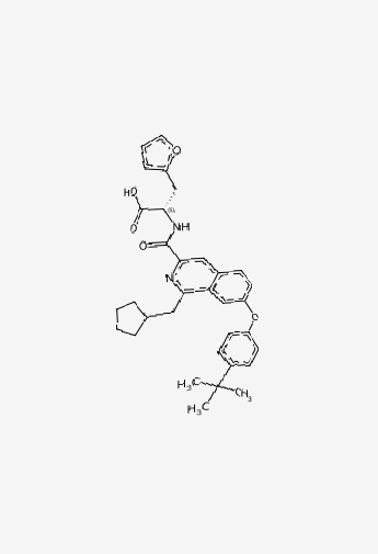 CC(C)(C)c1ccc(Oc2ccc3cc(C(=O)N[C@@H](Cc4ccco4)C(=O)O)nc(CC4CCCC4)c3c2)cc1